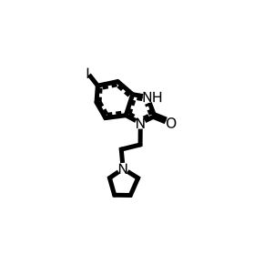 O=c1[nH]c2cc(I)ccc2n1CCN1CCCC1